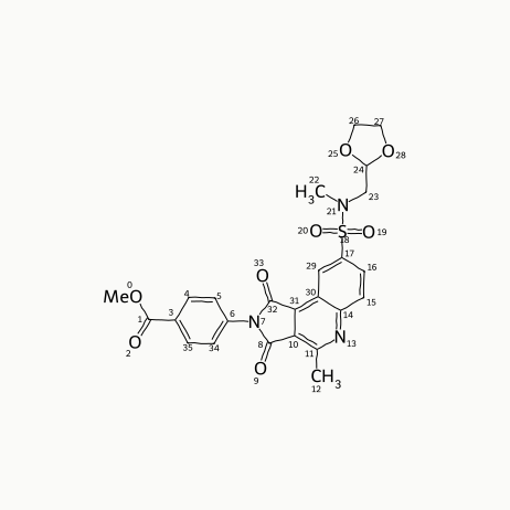 COC(=O)c1ccc(N2C(=O)c3c(C)nc4ccc(S(=O)(=O)N(C)CC5OCCO5)cc4c3C2=O)cc1